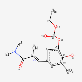 CCN(CC)C(=O)/C(C#N)=C/c1cc(OC(=O)OCC(C)(C)C)c(O)c([N+](=O)[O-])c1